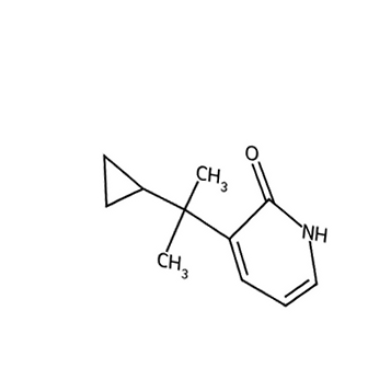 CC(C)(c1ccc[nH]c1=O)C1CC1